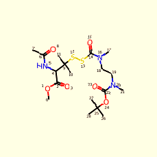 COC(=O)C(NC(C)=O)C(C)(C)SSC(=O)N(C)CCN(C)C(=O)OC(C)(C)C